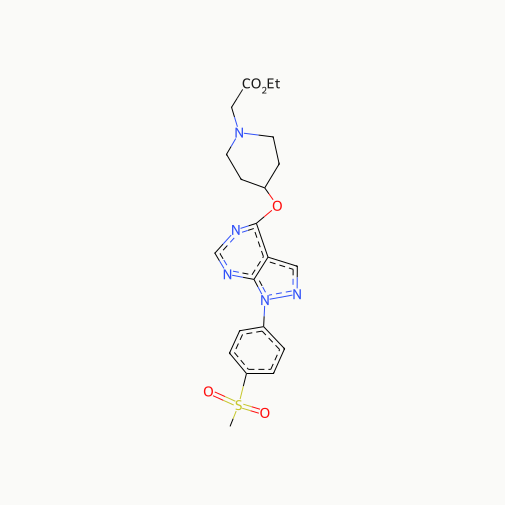 CCOC(=O)CN1CCC(Oc2ncnc3c2cnn3-c2ccc(S(C)(=O)=O)cc2)CC1